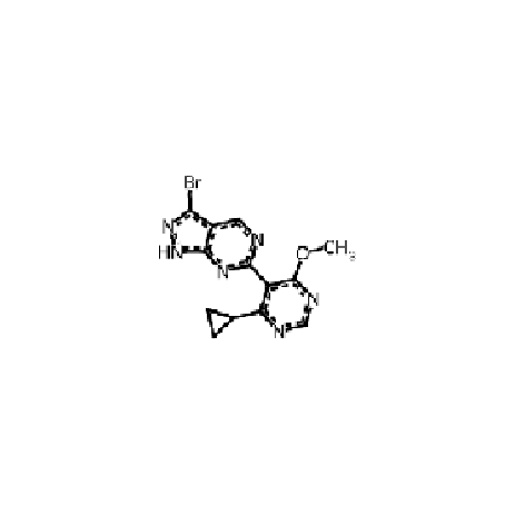 COc1ncnc(C2CC2)c1-c1ncc2c(Br)n[nH]c2n1